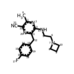 Cc1nc(NCCN2CCC2)c(Cc2ccc(F)cc2)nc1C#N